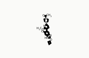 COc1nc(N2CCN(C(C)=O)CC2)ccc1-c1cc2nc(OC3CCC3)[nH]c2cc1Cl